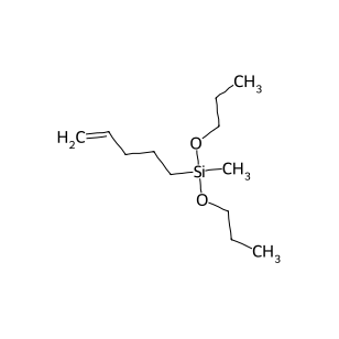 C=CCCC[Si](C)(OCCC)OCCC